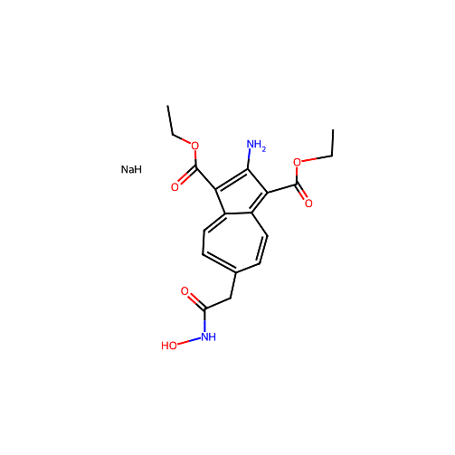 CCOC(=O)c1c2ccc(CC(=O)NO)ccc-2c(C(=O)OCC)c1N.[NaH]